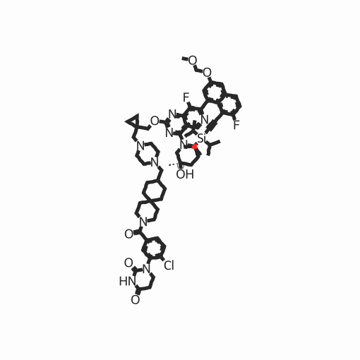 COCOc1cc(-c2ncc3c(N4CCC[C@@](C)(O)C4)nc(OCC4(CN5CCN(CC6CCC7(CC6)CCN(C(=O)c6ccc(Cl)c(N8CCC(=O)NC8=O)c6)CC7)CC5)CC4)nc3c2F)c2c(C#C[Si](C(C)C)(C(C)C)C(C)C)c(F)ccc2c1